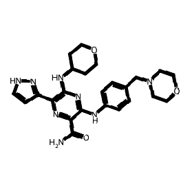 NC(=O)c1nc(-c2cc[nH]n2)c(NC2CCOCC2)nc1Nc1ccc(CN2CCOCC2)cc1